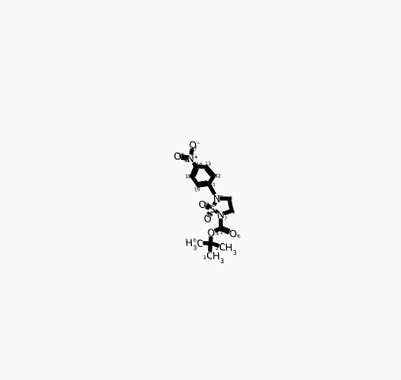 CC(C)(C)OC(=O)N1CCN(c2ccc([N+](=O)[O-])cc2)S1(=O)=O